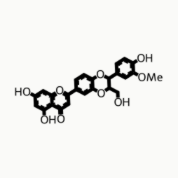 COc1cc(C2Oc3ccc(-c4cc(=O)c5c(O)cc(O)cc5o4)cc3OC2CO)ccc1O